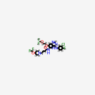 O=C(/C=C/CN1CCC(OC(F)F)CC1)Nc1cc2c(Nc3ccc(F)c(Cl)c3)ncnc2cc1OCCOC(F)F